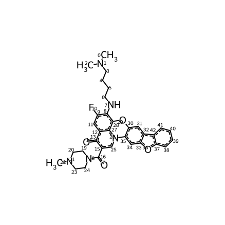 CN(C)CCCCNc1c(F)cc2c(=O)c(C(=O)N3CCN(C)CC3)cn3c2c1Oc1cc2c(cc1-3)oc1ccccc12